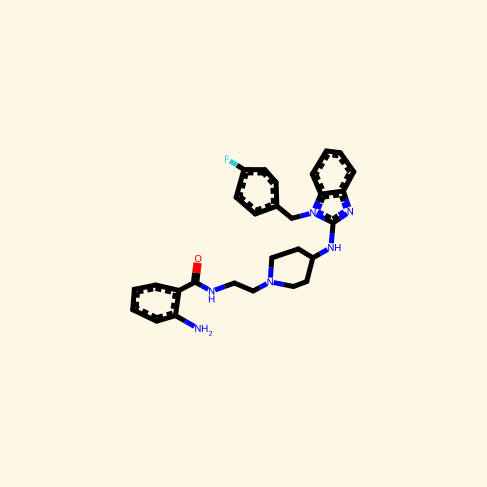 Nc1ccccc1C(=O)NCCN1CCC(Nc2nc3ccccc3n2Cc2ccc(F)cc2)CC1